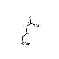 COCCOC(C)O